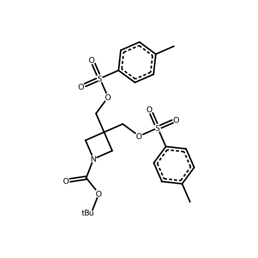 Cc1ccc(S(=O)(=O)OCC2(COS(=O)(=O)c3ccc(C)cc3)CN(C(=O)OC(C)(C)C)C2)cc1